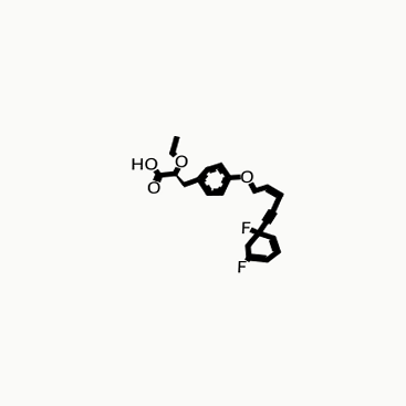 CCO[C@@H](Cc1ccc(OC/C=C\C#CC2(F)C=CC=C(F)C2)cc1)C(=O)O